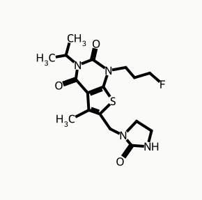 Cc1c(CN2CCNC2=O)sc2c1c(=O)n(C(C)C)c(=O)n2CCCF